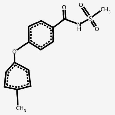 Cc1ccc(Oc2ccc(C(=O)NS(C)(=O)=O)cc2)cc1